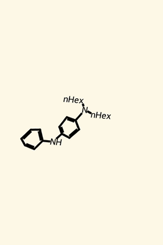 CCCCCCN(CCCCCC)c1ccc(Nc2ccccc2)cc1